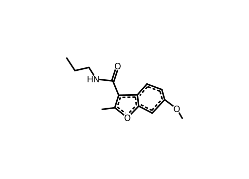 CCCNC(=O)c1c(C)oc2cc(OC)ccc12